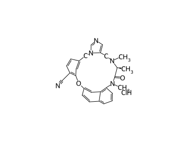 C[C@H]1C(=O)N(C)c2cccc3ccc(cc23)Oc2cc(ccc2C#N)Cn2cncc2CN1C.Cl